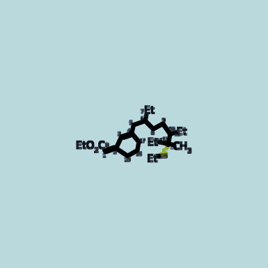 CCOC(=O)C=C1C=C(CC(CC)CCC(CC)C(C)(CC)SCC)CCC1